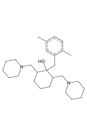 Cc1ccc(C)c(CC2(O)C(CN3CCCCC3)CCCC2CN2CCCCC2)c1